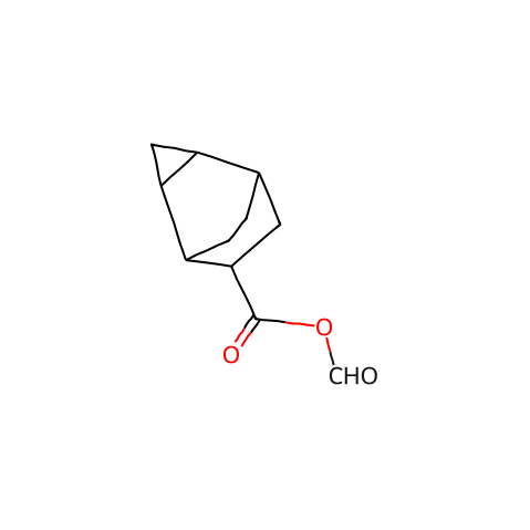 O=COC(=O)C1CC2CCC1C1CC21